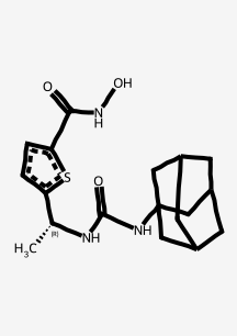 C[C@@H](NC(=O)NC12CC3CC(CC(C3)C1)C2)c1ccc(C(=O)NO)s1